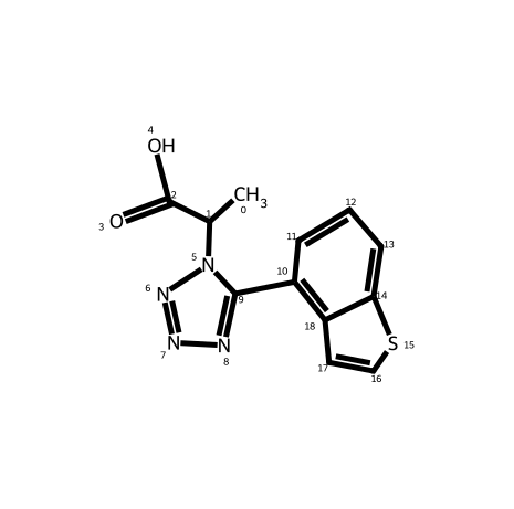 CC(C(=O)O)n1nnnc1-c1cccc2sccc12